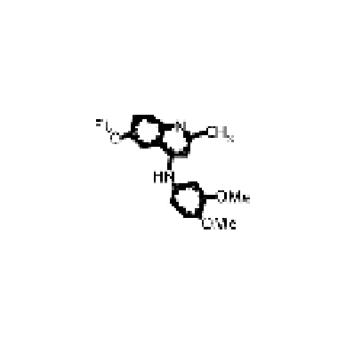 CCOc1ccc2nc(C)cc(Nc3ccc(OC)c(OC)c3)c2c1